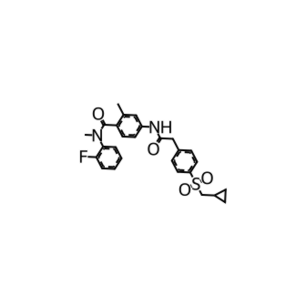 Cc1cc(NC(=O)Cc2ccc(S(=O)(=O)CC3CC3)cc2)ccc1C(=O)N(C)c1ccccc1F